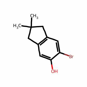 CC1(C)Cc2cc(O)c(Br)cc2C1